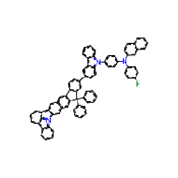 Fc1ccc(N(c2ccc(-n3c4ccccc4c4cc(-c5ccc6c(c5)C(c5ccccc5)(c5ccccc5)c5cc7cc8c(cc7cc5-6)c5cccc6c7ccccc7n8c65)ccc43)cc2)c2ccc3ccccc3c2)cc1